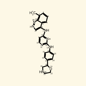 Cc1cccc2c(Nc3ccnc(Nc4ccc(C5CNCCO5)cc4)n3)cnnc12